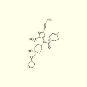 CC1=CC[C@H](C(=O)N(c2cc(C#CC(C)(C)C)sc2C(=O)O)[C@H]2CC[C@](O)(COC3CCOC3)CC2)CC1